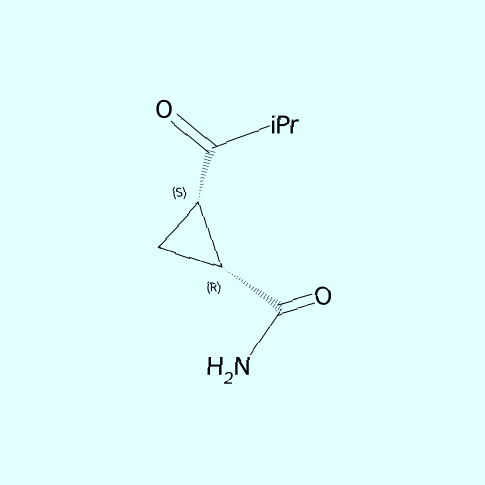 CC(C)C(=O)[C@H]1C[C@H]1C(N)=O